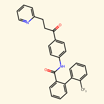 O=C(CCc1ccccn1)c1ccc(NC(=O)c2ccccc2-c2ccccc2C(F)(F)F)cc1